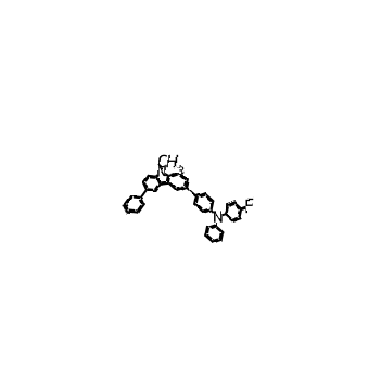 Cn1c2ccc(-c3ccccc3)cc2c2cc(-c3ccc(N(c4ccccc4)c4ccc(F)cc4)cc3)ccc21